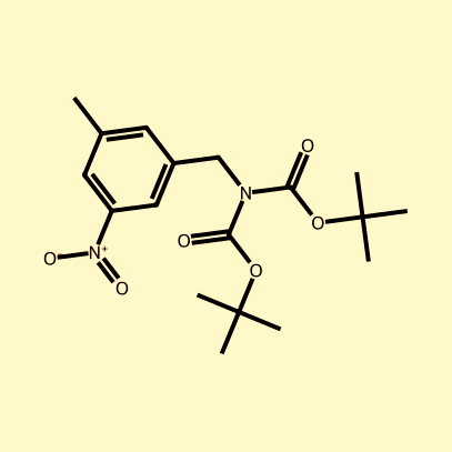 Cc1cc(CN(C(=O)OC(C)(C)C)C(=O)OC(C)(C)C)cc([N+](=O)[O-])c1